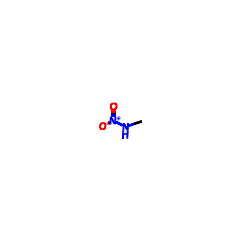 CN[N+](=O)[O-]